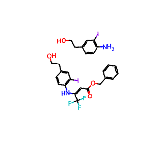 Nc1ccc(CCO)cc1I.O=C(/C=C(/Nc1ccc(CCO)cc1I)C(F)(F)F)OCc1ccccc1